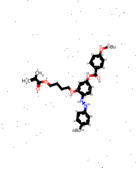 C=C(C)C(=O)OCCCCOc1cc(OC(=O)c2ccc(OCCCC)cc2)ccc1N=Nc1ccc(CCCC)cc1